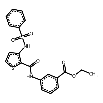 CCOC(=O)c1cccc(NC(=O)c2sccc2NS(=O)(=O)c2ccccc2)c1